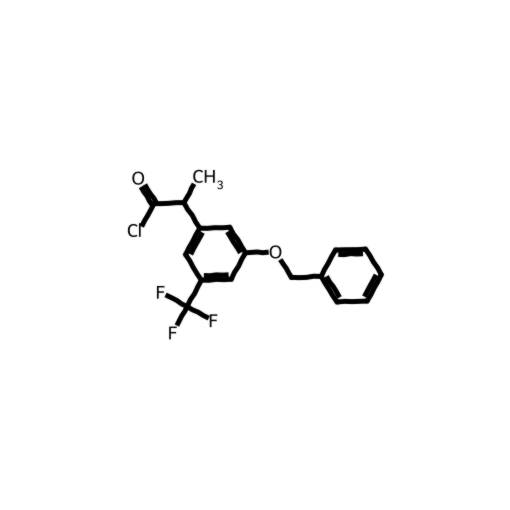 CC(C(=O)Cl)c1cc(OCc2ccccc2)cc(C(F)(F)F)c1